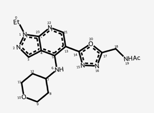 CCn1ncc2c(NC3CCOCC3)c(-c3nnc(CNC(C)=O)o3)cnc21